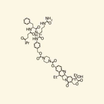 CCc1c2c(nc3ccc(OC(=O)N4CCN(C(=O)OCc5ccc(NC(=O)[C@H](CCCNC(N)=O)NC(=O)C(Cc6ccccc6)NC(=O)CCC(=O)C(C)C)cc5)CC4)cc13)-c1cc3c(c(=O)n1C2)COC(=O)[C@]3(O)CC